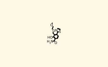 COCCOCc1c(-c2nccs2)ccc(C(N)=O)c1O